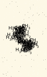 CC[C@H](C)[C@H](NC(=O)[C@H](CC(C)C)NC(=O)[C@H](CC(N)=O)NC(=O)C(C)(C)NC(C)=O)C(=O)NC(C)(C)C(=O)N1CCC[C@H]1C(=O)N[C@@](C)(CC)C(=O)N[C@@H](CC(C)C)C(=O)NC(C)(C)C(=O)N1CCC[C@H]1C(=O)N[C@H](CO)CC(C)C